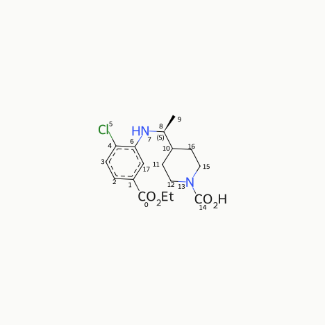 CCOC(=O)c1ccc(Cl)c(N[C@@H](C)C2CCN(C(=O)O)CC2)c1